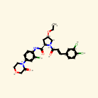 CCO[C@@H]1C[C@H](C(=O)Nc2ccc(N3CCOCC3=O)cc2F)N(C(=O)C=Cc2ccc(Cl)c(Cl)c2)C1